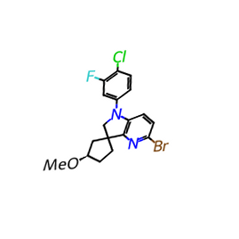 CO[C@@H]1CCC2(C1)CN(c1ccc(Cl)c(F)c1)c1ccc(Br)nc12